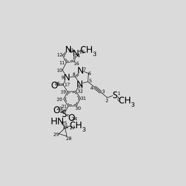 CSCC#CC1CN=C2N(Cc3cnn(C)c3)C(=O)c3cc(S(=O)(=O)NC4(C)CC4)ccc3N21